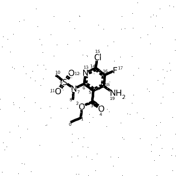 CCOC(=O)c1c(N(C)S(C)(=O)=O)nc(Cl)c(F)c1N